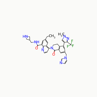 CCc1cc(C(=O)NCC2CNC2)c2nccc(N3CCc4c(cc(Cn5ccnc5)cc4-c4cn(C)nc4C(F)(F)F)C3=O)c2c1